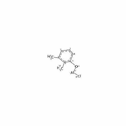 Cc1cccc([O][Al][Cl])c1C